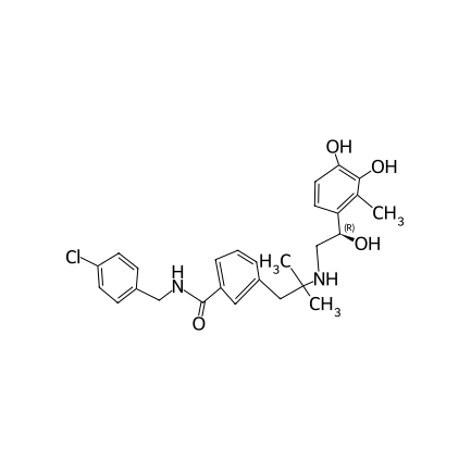 Cc1c([C@@H](O)CNC(C)(C)Cc2cccc(C(=O)NCc3ccc(Cl)cc3)c2)ccc(O)c1O